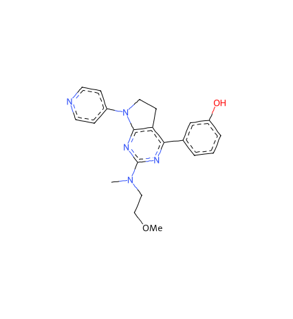 COCCN(C)c1nc(-c2cccc(O)c2)c2c(n1)N(c1ccncc1)CC2